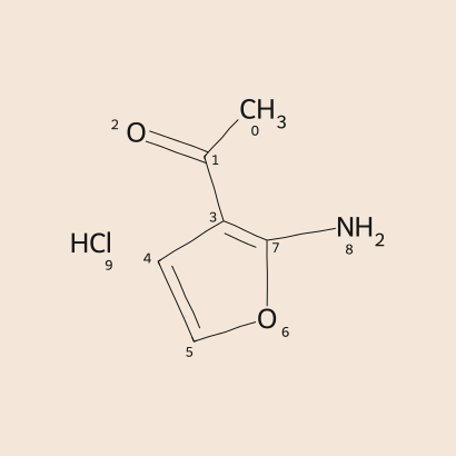 CC(=O)c1ccoc1N.Cl